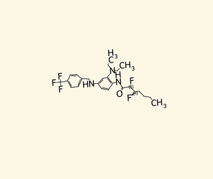 CCCC[C@@H](F)[C@@H](F)C(=O)Nc1ccc(NCc2ccc(C(F)(F)F)cc2)cc1N(CC)CC